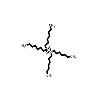 CCCCCC[CH2][Sn]1([CH2]CCCCCC)[S][Sn]([CH2]CCCCCC)([CH2]CCCCCC)[S]1